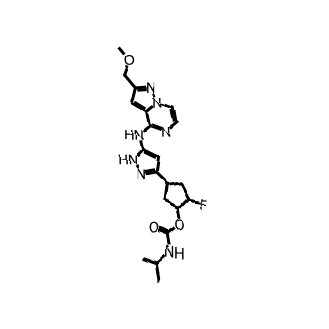 COCc1cc2c(Nc3cc(C4CC(F)C(OC(=O)NC(C)C)C4)n[nH]3)nccn2n1